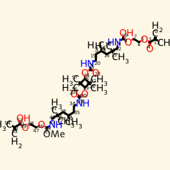 C=C(C)C(=O)OCCOC(O)NCC(C)(C)CC(C)CCNC(=O)O[C@H]1C(C)(C)[C@H](OC(=O)NCCC(C)CC(C)(C)CNC(OC)OCCOC(O)C(=C)C)C1(C)C